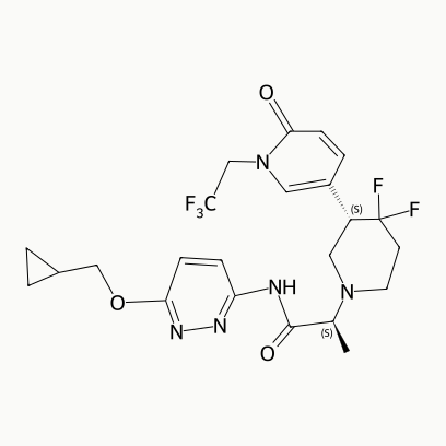 C[C@@H](C(=O)Nc1ccc(OCC2CC2)nn1)N1CCC(F)(F)[C@@H](c2ccc(=O)n(CC(F)(F)F)c2)C1